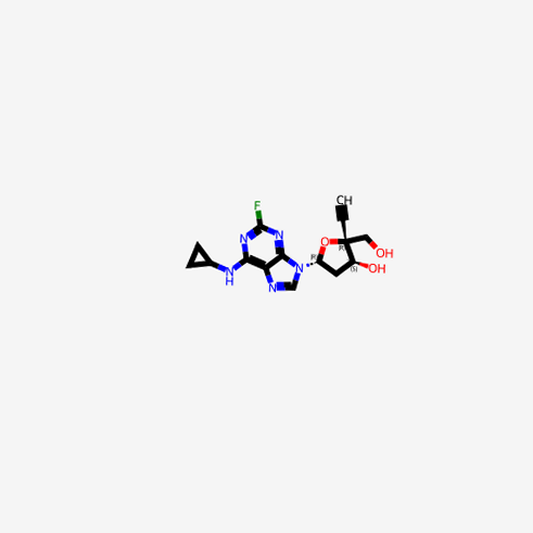 C#C[C@]1(CO)O[C@@H](n2cnc3c(NC4CC4)nc(F)nc32)C[C@@H]1O